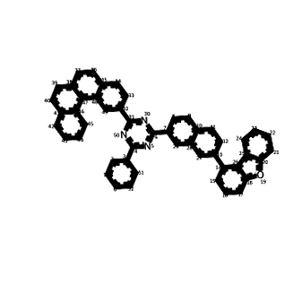 c1ccc(-c2nc(-c3ccc4ccc(-c5cccc6oc7ccccc7c56)cc4c3)nc(-c3ccc4ccc5ccc6ccccc6c5c4c3)n2)cc1